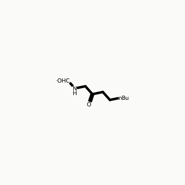 CCCCCCC(=O)CN[C]=O